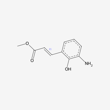 COC(=O)/C=C/c1cccc(N)c1O